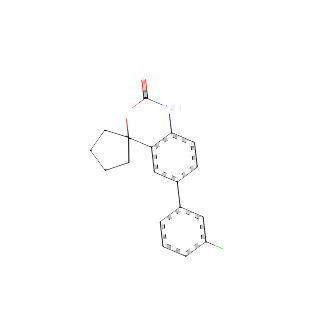 O=C1Nc2ccc(-c3cccc(Cl)c3)cc2C2(CCCC2)O1